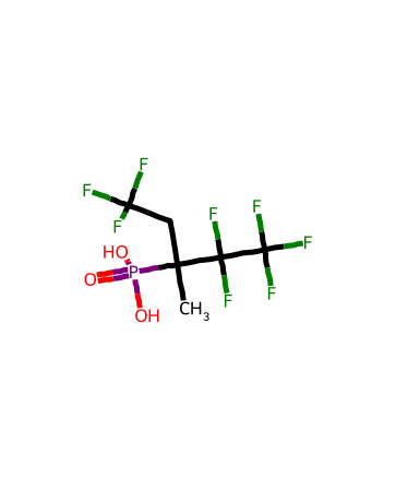 CC(CC(F)(F)F)(C(F)(F)C(F)(F)F)P(=O)(O)O